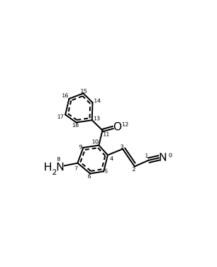 N#CC=Cc1ccc(N)cc1C(=O)c1ccccc1